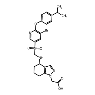 CC(C)c1ccc(Oc2ncc(S(=O)(=O)CN[C@@H]3CCCc4c3cnn4CC(=O)O)cc2Br)cc1